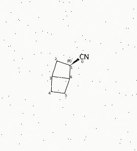 N#C[C@@H]1CC2CCC21